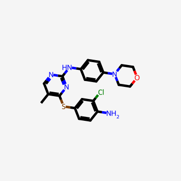 Cc1cnc(Nc2ccc(N3CCOCC3)cc2)nc1Sc1ccc(N)c(Cl)c1